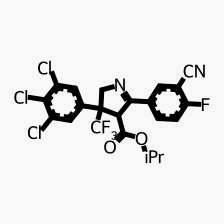 CC(C)OC(=O)C1C(c2ccc(F)c(C#N)c2)=NCC1(c1cc(Cl)c(Cl)c(Cl)c1)C(F)(F)F